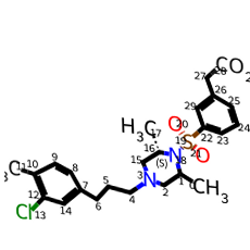 CC1CN(CCCc2ccc(C(F)(F)F)c(Cl)c2)C[C@H](C)N1S(=O)(=O)c1cccc(CC(=O)O)c1